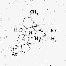 CC(=O)[C@H]1CC[C@H]2[C@@H]3C[C@H](O[Si](C)(C)C(C)(C)C)[C@H]4C[C@@H](C)CC[C@]4(C)[C@H]3CC[C@]12C